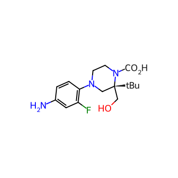 CC(C)(C)[C@@]1(CO)CN(c2ccc(N)cc2F)CCN1C(=O)O